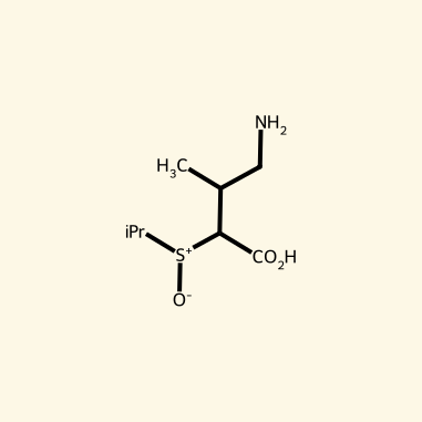 CC(CN)C(C(=O)O)[S+]([O-])C(C)C